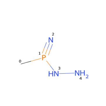 CP(#N)NN